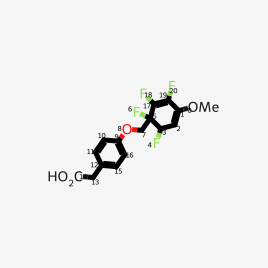 COC1=CC(F)C(F)(COc2ccc(CC(=O)O)cc2)C(F)=C1F